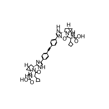 O=C(O)N[C@H](C(=O)N1[C@@H]2C[C@@H]2C[C@H]1c1nc(-c2ccc(C#Cc3ccc(-c4c[nH]c([C@@H]5C[C@H]6C[C@H]6N5C(=O)[C@@H](NC(=O)O)C5CCC5)n4)cc3)cc2)c[nH]1)C1CCC1